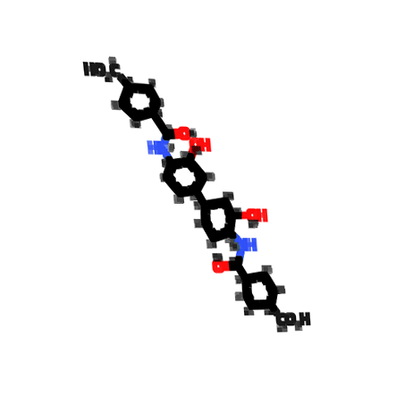 O=C(O)c1ccc(C(=O)Nc2ccc(-c3ccc(NC(=O)c4ccc(C(=O)O)cc4)c(O)c3)cc2O)cc1